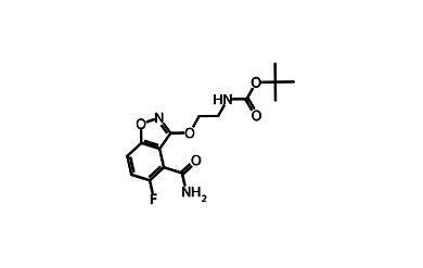 CC(C)(C)OC(=O)NCCOc1noc2ccc(F)c(C(N)=O)c12